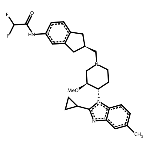 CO[C@H]1CN(C[C@@H]2Cc3ccc(NC(=O)C(F)F)cc3C2)CC[C@@H]1n1c(C2CC2)nc2cc(C)ccc21